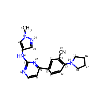 Cn1cc(Nc2nccc(-c3ccc(N4CCCC4)c(C#N)c3)n2)cn1